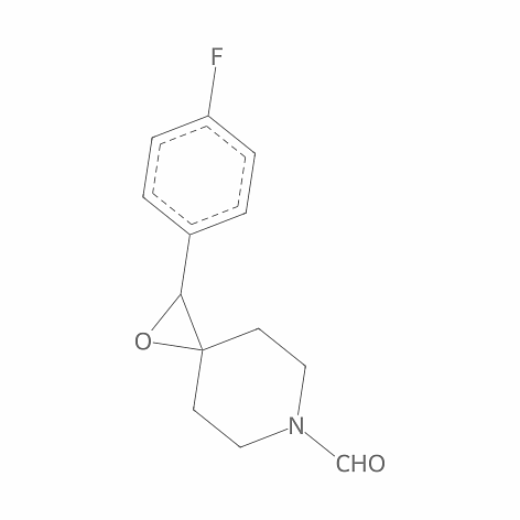 O=CN1CCC2(CC1)OC2c1ccc(F)cc1